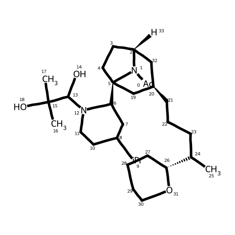 CC(=O)N1[C@@H]2CC[C@@]1(C1CC(C(C)C)CCN1C(O)C(C)(C)O)C[C@H](CCCC(C)[C@H]1CCCCO1)C2